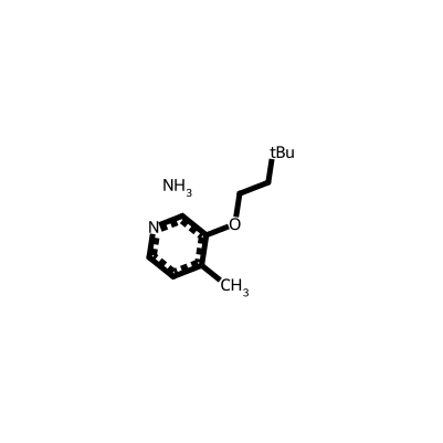 Cc1ccncc1OCCC(C)(C)C.N